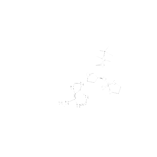 CC(C)(C)[Si](C)(C)OC[C@H]1O[C@@H](n2cnc3c(N)ncnc32)C[C@@H]1OP1(=S)SCCS1